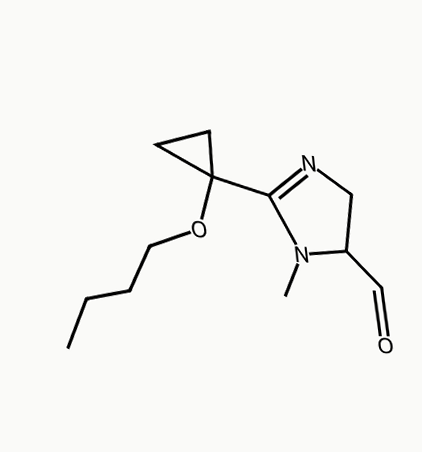 CCCCOC1(C2=NCC(C=O)N2C)CC1